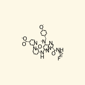 COC(=O)c1ccnc(-n2cccc(Nc3cc(N(C)Cc4ccc(OC)cc4)c4ncc(C(=O)N[C@@H]5C[C@@H]5F)n4n3)c2=O)c1